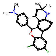 CC1=CC(C)(C)Nc2ccc3c(c21)C(c1ccc(N(C)C)cc1)Oc1c(F)cc(F)cc1-3